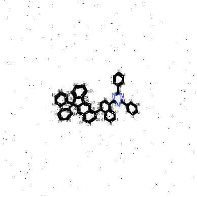 c1ccc(-c2nc(-c3ccccc3)nc(-c3ccc(-c4cccc5cc6c(cc45)-c4ccccc4C6(c4ccccc4)c4ccccc4)c4ccccc34)n2)cc1